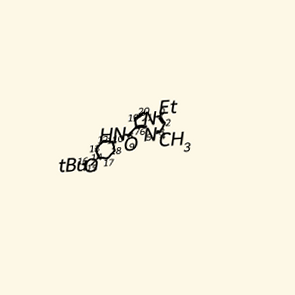 CCc1cc(C)nc2c(C(=O)N[C@H]3CC[C@H](OC(C)(C)C)CC3)ccn12